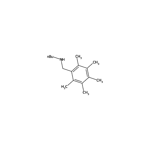 CCCCNCc1c(C)c(C)c(C)c(C)c1C